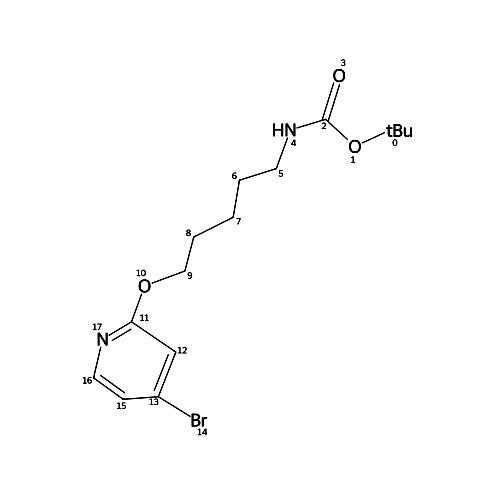 CC(C)(C)OC(=O)NCCCCCOc1cc(Br)ccn1